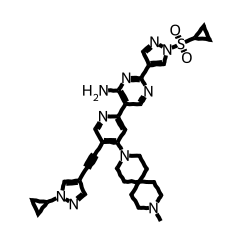 CN1CCC2(CC1)CCN(c1cc(-c3cnc(-c4cnn(S(=O)(=O)C5CC5)c4)nc3N)ncc1C#Cc1cnn(C3CC3)c1)CC2